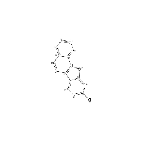 Clc1cnc2c(c1)oc1c3ccccc3ccc21